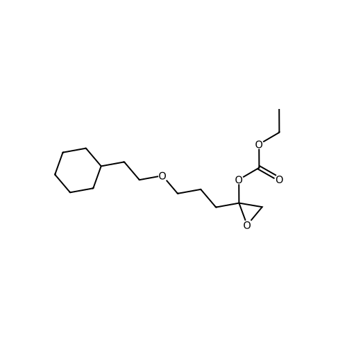 CCOC(=O)OC1(CCCOCCC2CCCCC2)CO1